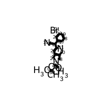 CC(C)(C)OC(=O)N1Cc2cnc(C(C#N)c3cccc(Br)c3)cc2C1